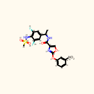 CC(NC(=O)c1coc(Oc2cccc([N+](=O)[O-])c2)n1)c1cc(F)c(NS(C)(=O)=O)c(F)c1